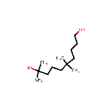 CC(C)(O)CCCC(C)(C)CCCCO